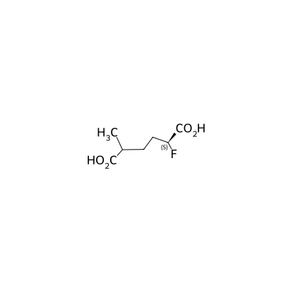 CC(CC[C@H](F)C(=O)O)C(=O)O